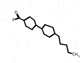 CCCCCC1CCC(C2CCC(C(=O)F)CC2)CC1